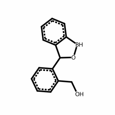 OCc1ccccc1C1OBc2ccccc21